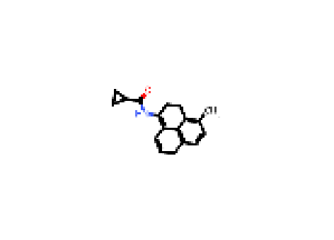 Cc1ccc2c3c1CCC(NC(=O)C1CC1)=C3C=CC2